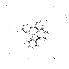 Cc1cccc2c3ccccc3n3c4ncccc4[n+](C)c3c12